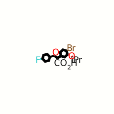 CC(C)Oc1cc2c(C(=O)O)c(-c3ccc(F)cc3)oc2cc1Br